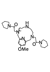 COc1cc2nc(c1)CN(CC(=O)N1CCCCC1)CCNCCN(CC(=O)N1CCCCC1)C2